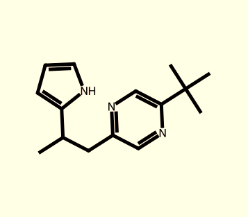 CC(Cc1cnc(C(C)(C)C)cn1)c1ccc[nH]1